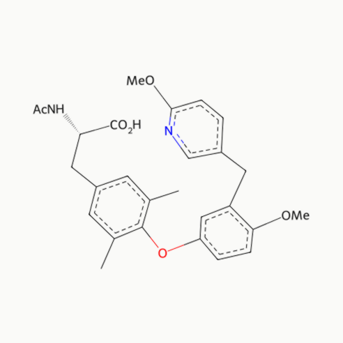 COc1ccc(Cc2cc(Oc3c(C)cc(C[C@H](NC(C)=O)C(=O)O)cc3C)ccc2OC)cn1